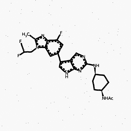 CC(=O)N[C@H]1CC[C@@H](Nc2ncc3c(-c4cc(F)c5nc(C)n(CC(F)F)c5c4)c[nH]c3n2)CC1